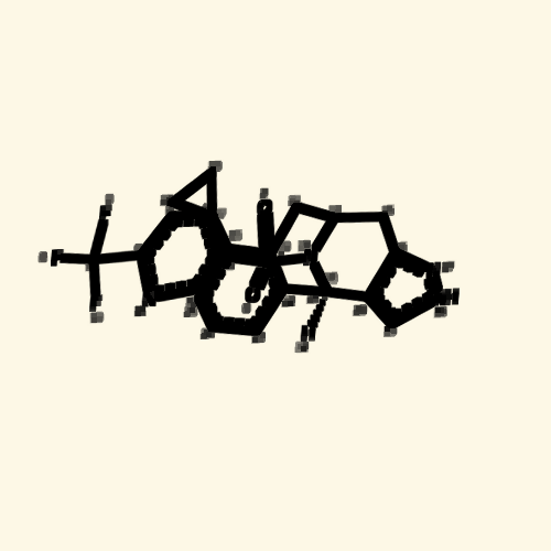 O=S(=O)(c1ccc(C(F)(F)F)nc1)N1C2Cc3n[nH]cc3[C@H]1c1cccc(C3CC3)c1C2